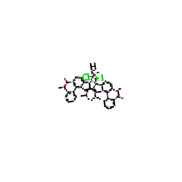 CC(C)CC1=Cc2c(ccc(C(C)C)c2-c2ccccc2C(C)C)[CH]1[Zr]([Cl])([Cl])([CH]1C(CC(C)C)=Cc2c1ccc(C(C)C)c2-c1ccccc1C(C)C)[SiH](C)C